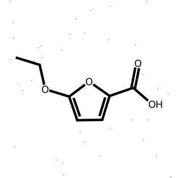 CCOc1ccc(C(=O)O)o1